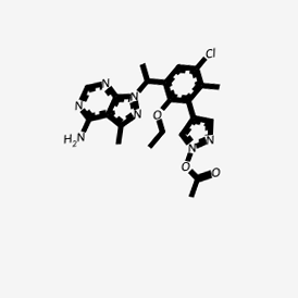 CCOc1c(C(C)n2nc(C)c3c(N)ncnc32)cc(Cl)c(C)c1-c1cnn(OC(C)=O)c1